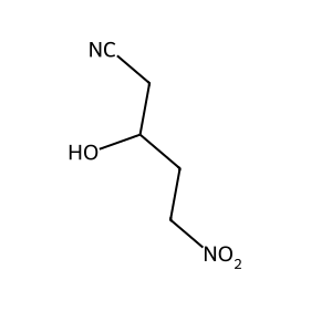 N#CCC(O)CC[N+](=O)[O-]